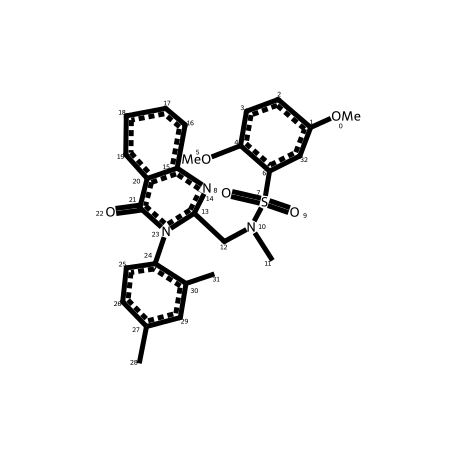 COc1ccc(OC)c(S(=O)(=O)N(C)Cc2nc3ccccc3c(=O)n2-c2ccc(C)cc2C)c1